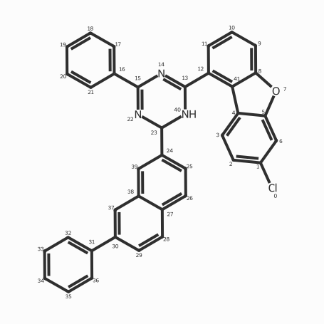 Clc1ccc2c(c1)oc1cccc(C3=NC(c4ccccc4)=NC(c4ccc5ccc(-c6ccccc6)cc5c4)N3)c12